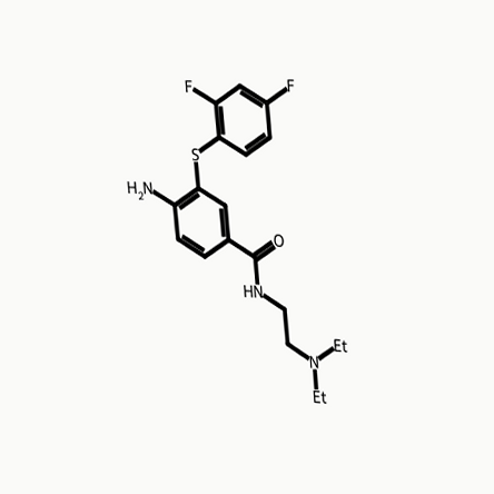 CCN(CC)CCNC(=O)c1ccc(N)c(Sc2ccc(F)cc2F)c1